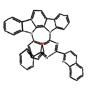 c1ccc(-c2nc(-c3ccc4ccccc4n3)nc(-n3c4ccccc4c4ccc5c6ccccc6n(-c6ccccc6)c5c43)n2)cc1